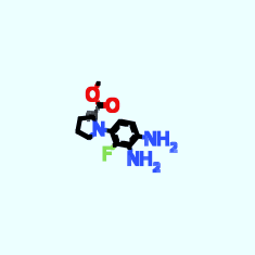 COC(=O)[C@H]1CCCN1c1ccc(N)c(N)c1F